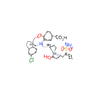 CC[C@H](C/C=C/[C@H](O)[C@@H]1CC[C@H]1CN1C[C@@]2(CCCc3cc(Cl)ccc32)COc2ccc(C(=O)O)cc21)S(N)(=O)=O